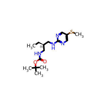 CC[C@H](CNC(=O)OC(C)(C)C)CNc1ncc(SC)cn1